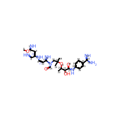 COC(=N)/C=C(\C=N)N/C=C\C(=N)N(C=O)CC(C)(C)OC(C)C(O)C(=O)Nc1ccc(C(=N)N)cc1